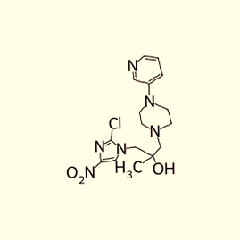 CC(O)(CN1CCN(c2cccnc2)CC1)Cn1cc([N+](=O)[O-])nc1Cl